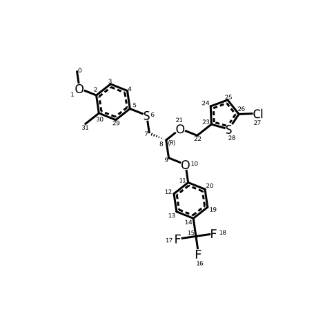 COc1ccc(SC[C@@H](COc2ccc(C(F)(F)F)cc2)OCc2ccc(Cl)s2)cc1C